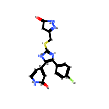 O=C1CC(CSc2nc(-c3ccc(F)cc3)c(-c3cc[nH]c(=O)c3)[nH]2)=NN1